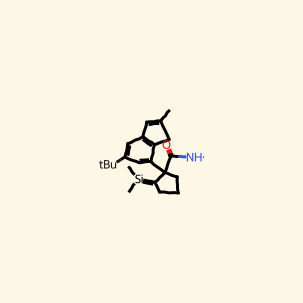 CC1=Cc2cc(C(C)(C)C)cc(C3(C([NH])=O)CCCC3=[Si](C)C)c2C1